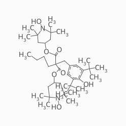 CCCCC(Cc1cc(C(C)(C)C)c(O)c(C(C)(C)C)c1)(C(=O)OC1CC(C)(C)N(O)C(C)(C)C1)C(=O)OC1CC(C)(C)N(O)C(C)(C)C1